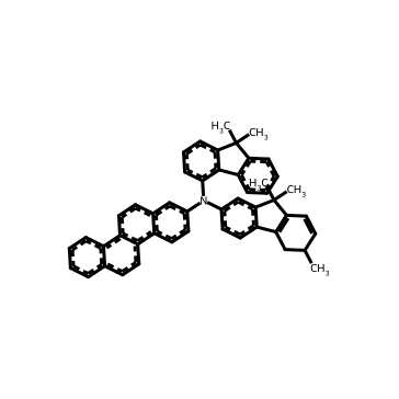 CC1C=CC2=C(C1)c1ccc(N(c3ccc4c(ccc5c6ccccc6ccc45)c3)c3cccc4c3-c3ccccc3C4(C)C)cc1C2(C)C